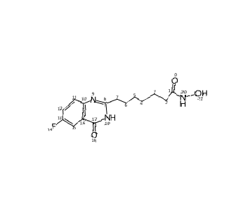 O=C(CCCCCCc1nc2ccc(F)cc2c(=O)[nH]1)NO